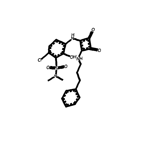 CN(C)S(=O)(=O)c1c(Cl)ccc(Nc2c(NCCCc3ccccc3)c(=O)c2=O)c1O